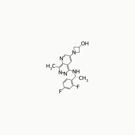 Cc1nnc(N[C@H](C)c2ccc(F)cc2F)c2cc(N3CC(O)C3)cnc12